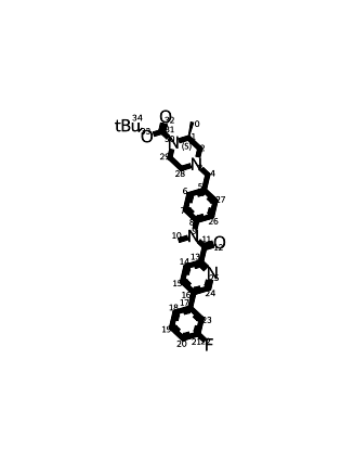 C[C@H]1CN(Cc2ccc(N(C)C(=O)c3ccc(-c4cccc(F)c4)cn3)cc2)CCN1C(=O)OC(C)(C)C